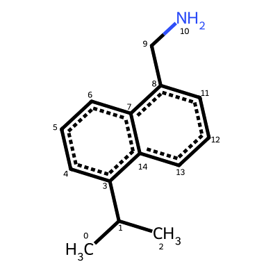 CC(C)c1cccc2c(CN)cccc12